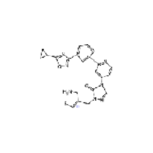 NC/C(=C\F)Cn1ncn(-c2ccnc(-c3cccc(-c4noc(C5CC5)n4)c3)c2)c1=O